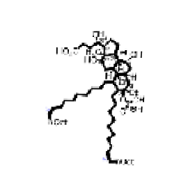 CCCCCCCC/C=C\CCCCCCCCC1C(CCCCCCCC/C=C\CCCCCCCC)[C@@]2(C)[C@H](C[C@@H](O)[C@@H]3[C@@H]2C[C@H](O)[C@]2(C)[C@@H]([C@H](C)CCC(=O)O)CC[C@@H]32)C[C@]1(CC)OP(=O)(O)O